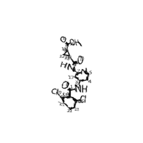 O=C(Nc1ccnc(NC(=O)[C@H]2C[C@H]2C(=O)O)c1)c1c(Cl)cccc1Cl